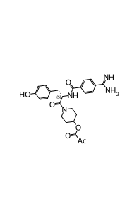 CC(=O)C(=O)OC1CCN(C(=O)[C@H](Cc2ccc(O)cc2)NC(=O)c2ccc(C(=N)N)cc2)CC1